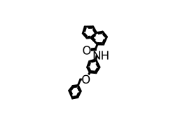 O=C(Nc1ccc(OCc2ccccc2)cc1)c1cccc2ccccc12